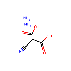 N.N.N#CCC(=O)O.O=CO